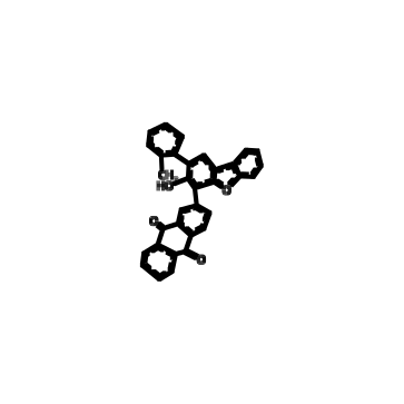 Cc1ccccc1-c1cc2c(oc3ccccc32)c(-c2ccc3c(c2)C(=O)c2ccccc2C3=O)c1O